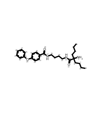 CCCCC(N)(CCCC)C(=O)NCCCCNC(=O)c1ccc(Oc2ccccc2)cc1